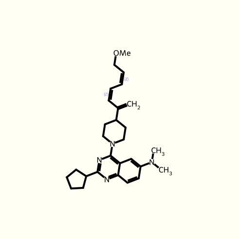 C=C(/C=C\C=C/COC)C1CCN(c2nc(C3CCCC3)nc3ccc(N(C)C)cc23)CC1